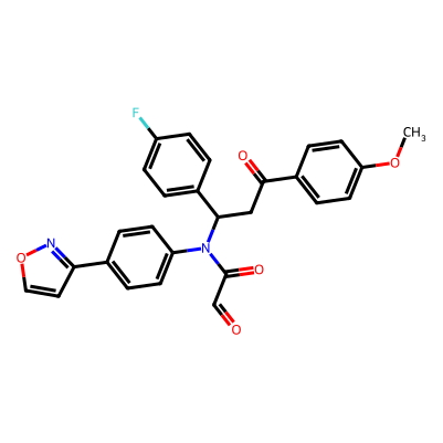 COc1ccc(C(=O)CC(c2ccc(F)cc2)N(C(=O)C=O)c2ccc(-c3ccon3)cc2)cc1